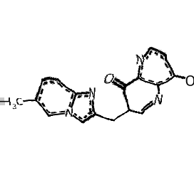 Cc1ccc2nc(CC3C=Nc4c([O])ccnc4C3=O)cn2c1